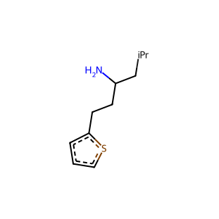 CC(C)CC(N)CCc1cccs1